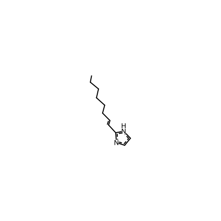 CCCCCCC=Cc1ncc[nH]1